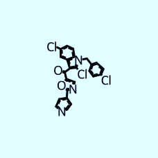 O=C(c1cnc(-c2ccncc2)o1)c1c(Cl)n(Cc2ccc(Cl)cc2)c2ccc(Cl)cc12